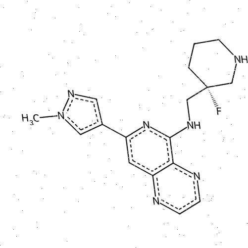 Cn1cc(-c2cc3nccnc3c(NC[C@@]3(F)CCCNC3)n2)cn1